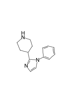 c1ccc(-n2ccnc2C2CCNCC2)cc1